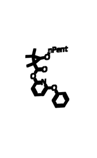 CCCCCOC1C(C)(C)C1(C)C(=O)Oc1cccc(Oc2ccccc2)n1